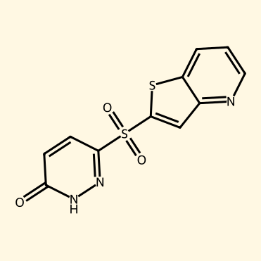 O=c1ccc(S(=O)(=O)c2cc3ncccc3s2)n[nH]1